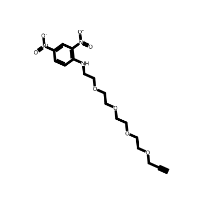 C#CCOCCOCCOCCOCCNc1ccc([N+](=O)[O-])cc1[N+](=O)[O-]